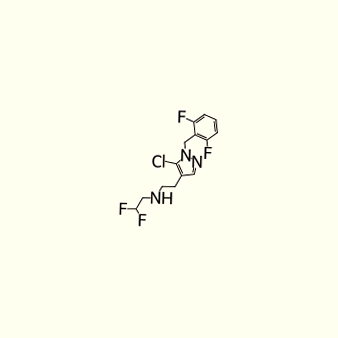 Fc1cccc(F)c1Cn1ncc(CCNCC(F)F)c1Cl